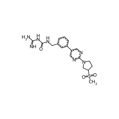 CS(=O)(=O)C1CCN(c2ncc(-c3cccc(CNC(=O)NC(=N)N)c3)cn2)C1